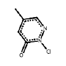 Cc1cnn(Cl)c(=O)c1